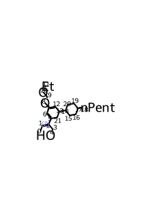 C/C=C(\CO)C1=CC(OCOCC)=CC(C2CCC(CCCCC)CC2)C1